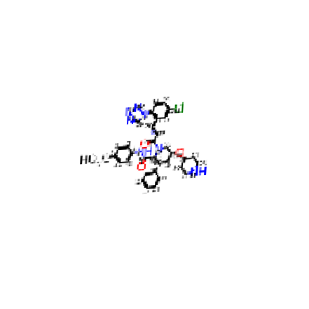 O=C(O)c1ccc(NC(=O)[C@@H]2[C@H](c3ccccc3)C[C@H](OC3CCNCC3)CN2C(=O)/C=C/c2cc(Cl)ccc2-n2cnnn2)cc1